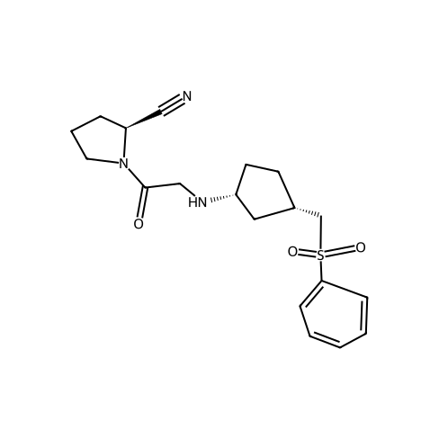 N#C[C@@H]1CCCN1C(=O)CN[C@@H]1CC[C@H](CS(=O)(=O)c2ccccc2)C1